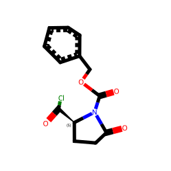 O=C(Cl)[C@@H]1CCC(=O)N1C(=O)OCc1ccccc1